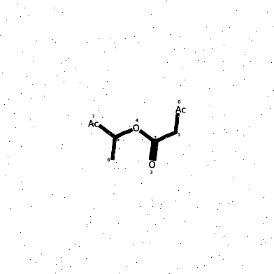 CC(=O)CC(=O)OC(C)C(C)=O